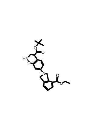 CCOC(=O)c1cccc2c1CN(c1ccc3c(c1)ONCC3C(=O)OC(C)(C)C)C2